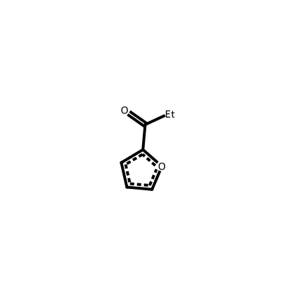 [CH2]CC(=O)c1ccco1